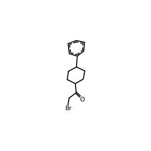 O=C(CBr)C1CCC(c2ccccc2)CC1